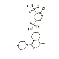 Cc1ccc(N2CCN(C)CC2)c2c1CC[C@@H](NS(=O)(=O)c1ccc(Cl)c(S(N)(=O)=O)c1)C2